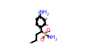 CCCC(c1ccc(N)cc1)S(N)(=O)=O